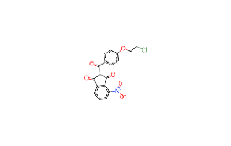 O=C(c1ccc(OCCCl)cc1)C1C(=O)c2cccc([N+](=O)[O-])c2C1=O